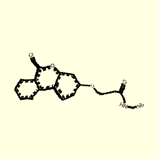 CCCCNC(=O)COc1ccc2c(c1)oc(=O)c1ccccc12